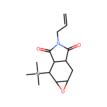 C=CCN1C(=O)C2CC3OC3C([Si](C)(C)C)C2C1=O